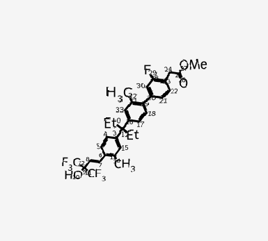 CCC(CC)(c1ccc(C=CC(O)(C(F)(F)F)C(F)(F)F)c(C)c1)c1ccc(-c2ccc(CC(=O)OC)c(F)c2)c(C)c1